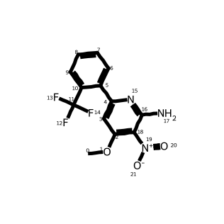 COc1cc(-c2ccccc2C(F)(F)F)nc(N)c1[N+](=O)[O-]